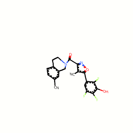 N#Cc1ccc2c(c1)CN(C(=O)c1noc(-c3cc(F)c(F)c(O)c3F)c1C#N)CC2